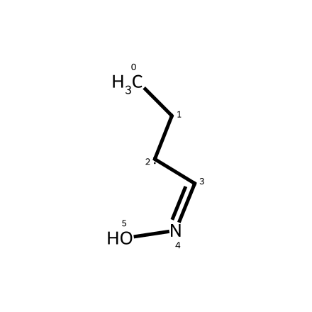 CC[CH]/C=N\O